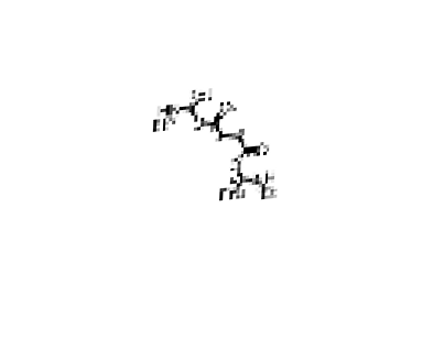 CCNC(CC)OC(=O)CCC(=O)OC(CC)NCC